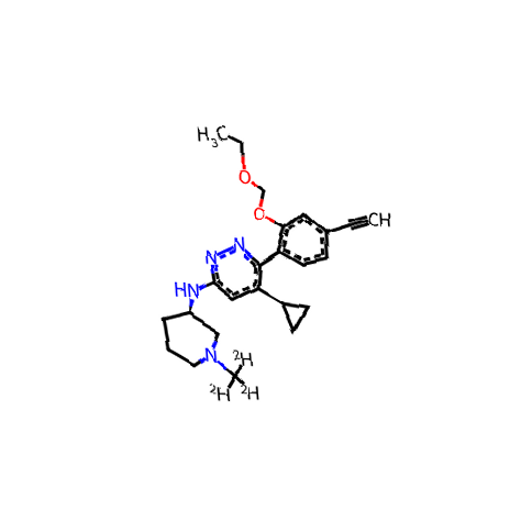 [2H]C([2H])([2H])N1CCC[C@@H](Nc2cc(C3CC3)c(-c3ccc(C#C)cc3OCOCC)nn2)C1